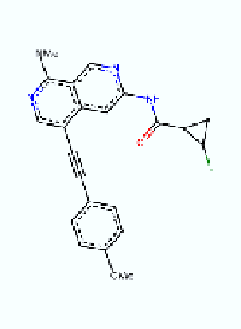 CNc1ncc(C#Cc2ccc(OC)cc2)c2cc(NC(=O)C3CC3F)ncc12